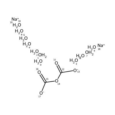 O.O.O.O.O.O.O.O.O.O.O.O=C([O-])OC(=O)[O-].[Na+].[Na+]